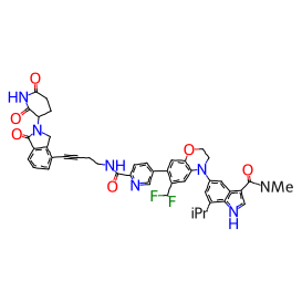 CNC(=O)c1c[nH]c2c(C(C)C)cc(N3CCOc4cc(-c5ccc(C(=O)NCCC#Cc6cccc7c6CN(C6CCC(=O)NC6=O)C7=O)nc5)c(C(F)F)cc43)cc12